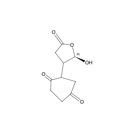 O=C1CCC(=O)C(C2CC(=O)O[C@H]2O)C1